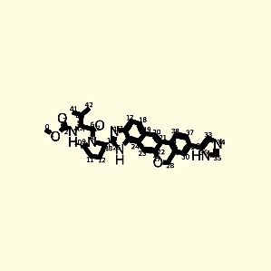 COC(=O)N[C@H](C(=O)N1[C@@H](C)CC[C@H]1c1nc2ccc3cc4c(cc3c2[nH]1)OCc1cc(-c2cnc[nH]2)ccc1-4)C(C)C